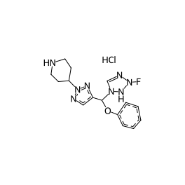 Cl.FN1N=CN(C(Oc2ccccc2)c2cnn(C3CCNCC3)n2)N1